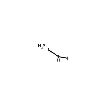 I[IH]I.P